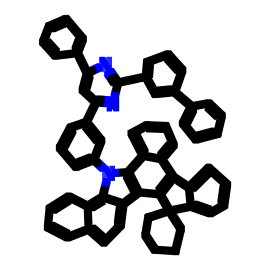 c1ccc(-c2cccc(-c3nc(-c4ccccc4)cc(-c4cccc(-n5c6c7ccccc7ccc6c6c7c(c8ccccc8c65)-c5ccccc5C75CCCCC5)c4)n3)c2)cc1